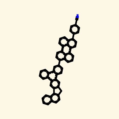 N#Cc1ccc(-c2ccc3c4cccc5c(-c6ccc7c(c6)c6ccccc6c6cc8c(cc76)Cc6ccc7ccccc7c6-8)ccc(c6cccc2c36)c54)cc1